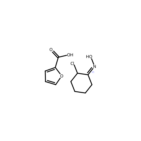 O/N=C1/CCCCC1Cl.O=C(O)c1ccco1